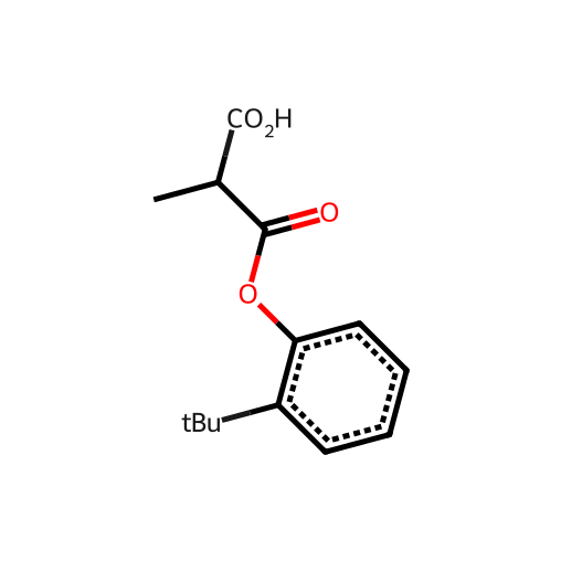 CC(C(=O)O)C(=O)Oc1ccccc1C(C)(C)C